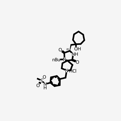 CCCCN1C(=O)[C@@H](CC2(O)CCCCCC2)NC(=O)C12CCN(Cc1ccc(NS(C)(=O)=O)cc1)CC2.Cl